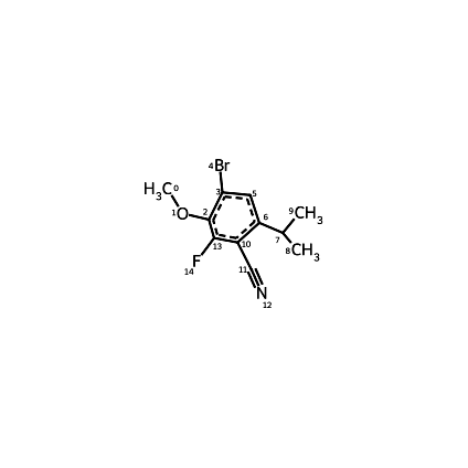 COc1c(Br)cc(C(C)C)c(C#N)c1F